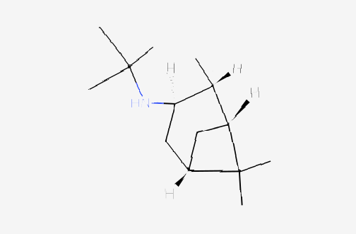 C[C@@H]1[C@H]2C[C@@H](C[C@H]1NC(C)(C)C)C2(C)C